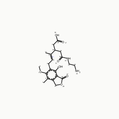 COc1c(C)c2c(c(O)c1C/C=C(\C)C(CC(=O)O)CC(=O)NCCN)C(=O)OC2